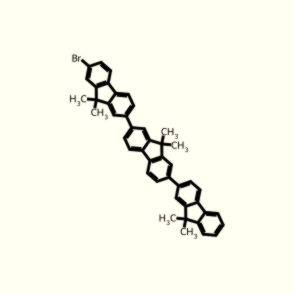 CC1(C)c2ccccc2-c2ccc(-c3ccc4c(c3)C(C)(C)c3cc(-c5ccc6c(c5)C(C)(C)c5cc(Br)ccc5-6)ccc3-4)cc21